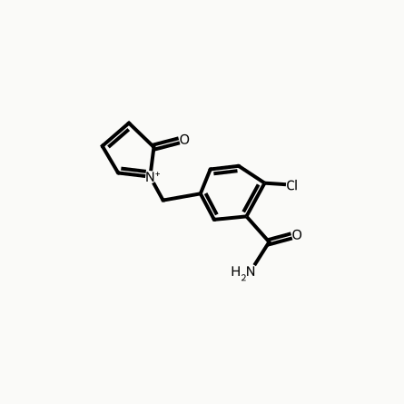 NC(=O)c1cc(C[N+]2=CC=CC2=O)ccc1Cl